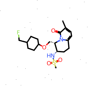 Cc1ccc2n(c1=O)[C@@H](COC1CCC(CF)CC1)[C@@H](NS(C)(=O)=O)CC2